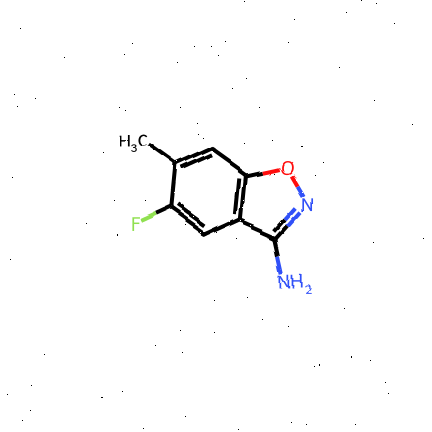 Cc1cc2onc(N)c2cc1F